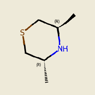 C[C@@H]1CSC[C@@H](C)N1